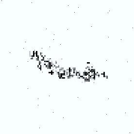 N#Cc1cc(N)ccc1-c1cn(CCC[C@H](NC(=O)c2ccc(NCc3cnc4nc(N)nc(N)c4n3)cc2)C(=O)O)nn1